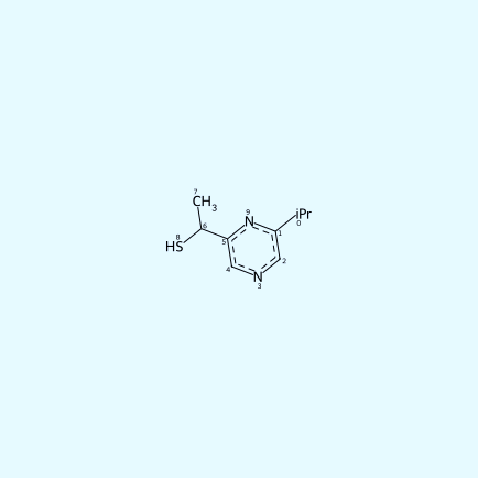 CC(C)c1cncc(C(C)S)n1